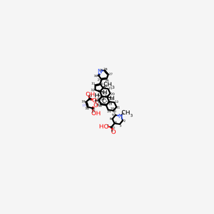 CN1CCC(C(=O)O)CC1[C@H]1CC[C@@]2(C)C(=CC[C@@H]3[C@@H]2CC[C@]2(C)C(c4cccnc4)=CC[C@@H]32)C1.O=C(O)/C=C\C(=O)O